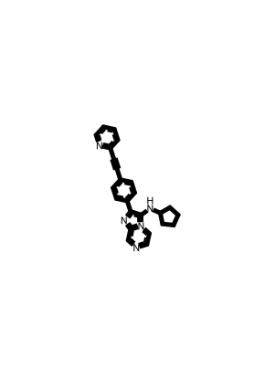 C(#Cc1ccccn1)c1ccc(-c2nc3cnccn3c2NC2CCCC2)cc1